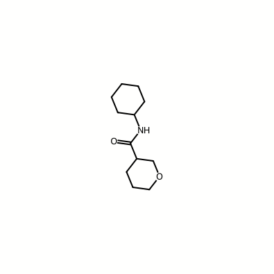 O=C(NC1CCCCC1)C1CCCOC1